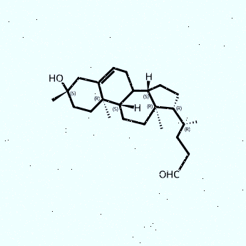 C[C@H](CCC=O)[C@H]1CC[C@H]2C3CC=C4C[C@@](C)(O)CC[C@]4(C)[C@H]3CC[C@]12C